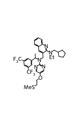 CCN(CC1CCCC1)c1nc2ccccc2cc1CN(c1ncc(OCCSC)cn1)C(C)c1cc(C(F)(F)F)cc(C(F)(F)F)c1